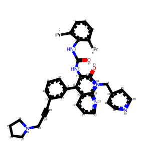 CC(C)c1cccc(C(C)C)c1NC(=O)Nc1c(-c2cccc(C#CCN3CCCC3)c2)c2cccnc2n(Cc2ccncc2)c1=O